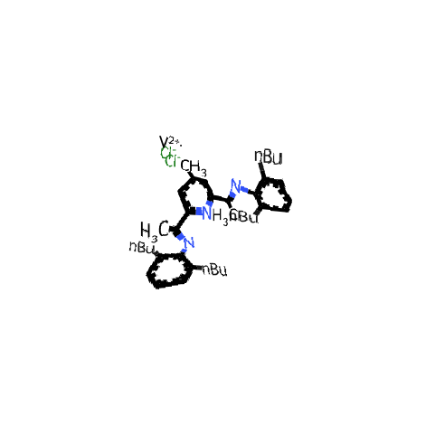 CCCCc1cccc(CCCC)c1N=C(C)c1cc(C)cc(C(C)=Nc2c(CCCC)cccc2CCCC)n1.[Cl-].[Cl-].[V+2]